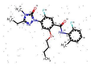 CCCCOc1cc(-n2nc(CC)n(C)c2=O)c(F)cc1C(=O)Nc1c(C)cccc1F